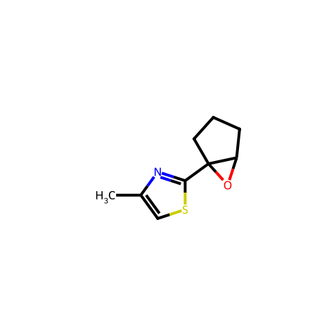 Cc1csc(C23CCCC2O3)n1